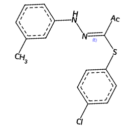 CC(=O)/C(=N\Nc1cccc(C)c1)Sc1ccc(Cl)cc1